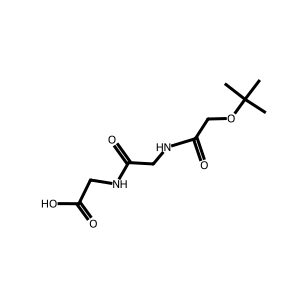 CC(C)(C)OCC(=O)NCC(=O)NCC(=O)O